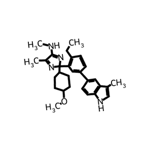 CCc1ccc(-c2ccc3[nH]cc(C)c3c2)cc1C1(C2CCC(OC)CC2)N=C(C)C(NC)=N1